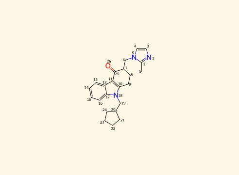 Cc1nccn1CC1CCc2c(c3ccccc3n2CC2CCCC2)C1=O